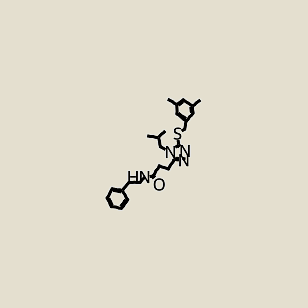 Cc1cc(C)cc(CSc2nnc(CCC(=O)NCCc3ccccc3)n2CC(C)C)c1